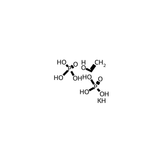 C=CO.O=P(O)(O)O.O=P(O)(O)O.[KH]